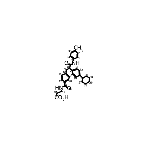 Cc1ccc(NC(=O)C(Cc2ccc(C(=O)NCCC(=O)O)cc2)c2ccc(C3CCCCC3)cc2)cc1